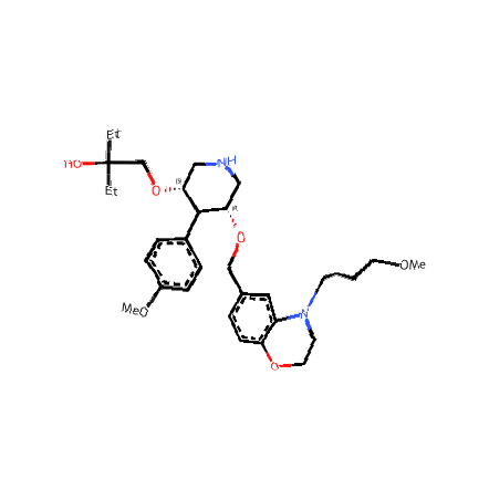 CCC(O)(CC)CO[C@@H]1CNC[C@H](OCc2ccc3c(c2)N(CCCOC)CCO3)C1c1ccc(OC)cc1